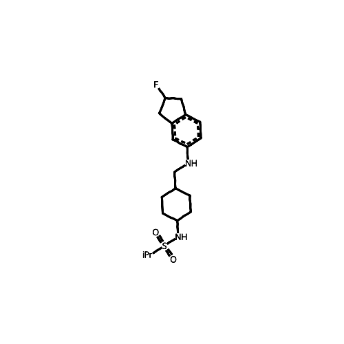 CC(C)S(=O)(=O)NC1CCC(CNc2ccc3c(c2)CC(F)C3)CC1